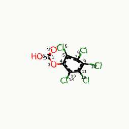 O=[Si](O)Oc1c(Cl)c(Cl)c(Cl)c(Cl)c1Cl